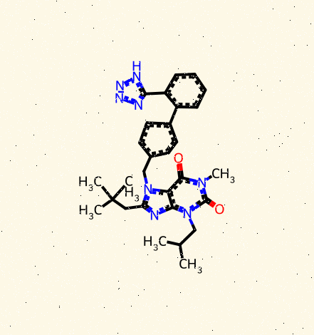 CC(C)Cn1c(=O)n(C)c(=O)c2c1nc(CC(C)(C)C)n2Cc1ccc(-c2ccccc2-c2nnn[nH]2)cc1